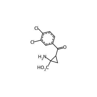 NC1(C(=O)O)CC1C(=O)c1ccc(Cl)c(Cl)c1